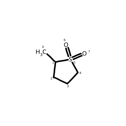 CC1[CH]CCS1(=O)=O